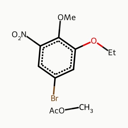 CCOc1cc(Br)cc([N+](=O)[O-])c1OC.COC(C)=O